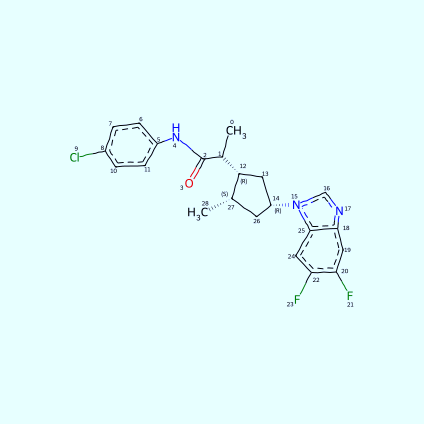 CC(C(=O)Nc1ccc(Cl)cc1)[C@@H]1C[C@H](n2cnc3cc(F)c(F)cc32)C[C@@H]1C